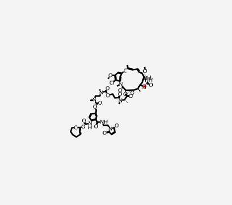 COc1cc2cc(c1Cl)N(C)C(=O)[C@H](OC(=O)[C@H](C)N(C)C(=O)CCOC(=O)N(C)CCN(C)C(=O)OCc1ccc(NC(=O)OC3/C=C/CCCCC3)c(C(=O)NCCN3C(=O)C=CC3=O)c1)[C@]1(C)OC1[C@H](C)[C@@H]1C[C@@](O)(NC(=O)O1)[C@H](OC)/C=C/C=C(\C)C2